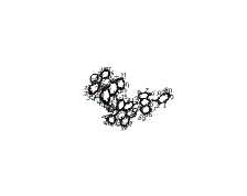 c1ccc(-c2c3ccccc3c(-c3cc4cc(-c5c6ccccc6c(-c6cccc7oc8ccccc8c67)c6ccccc56)c5sc6ccccc6c5c4c4c3sc3ccccc34)c3ccccc23)cc1